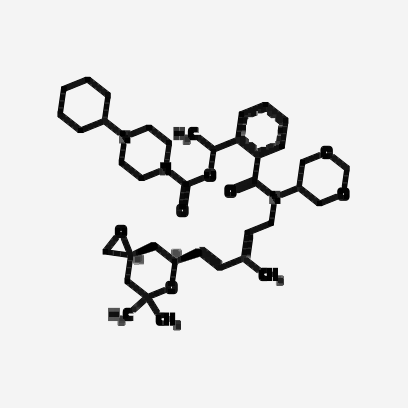 CC(C=C[C@@H]1C[C@]2(CO2)CC(C)(C)O1)=CCN(C(=O)c1ccccc1C(C)OC(=O)N1CCN(C2CCCCC2)CC1)C1COCOC1